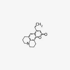 C=Cc1cc(=O)oc2c3c4c(cc12)CCCN4CCC3